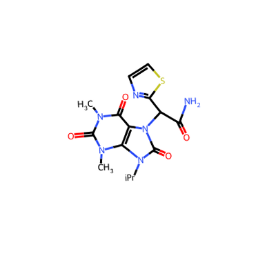 CC(C)n1c(=O)n(C(C(N)=O)c2nccs2)c2c(=O)n(C)c(=O)n(C)c21